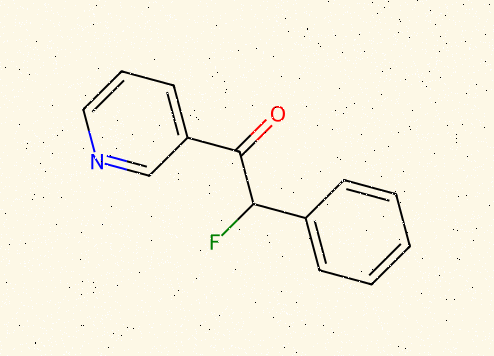 O=C(c1cccnc1)C(F)c1ccccc1